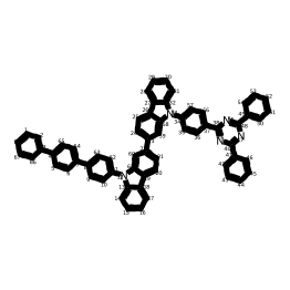 c1ccc(-c2ccc(-c3ccc(-n4c5ccccc5c5ccc(-c6ccc7c8ccccc8n(-c8ccc(-c9nc(-c%10ccccc%10)nc(-c%10ccccc%10)n9)cc8)c7c6)cc54)cc3)cc2)cc1